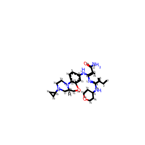 C=C(CC)/C(=N\C(Nc1ccc2c(c1)OC[C@H]1CN(C3CC3)CCN21)=C(/C)C(N)=O)NC1CCOCC1